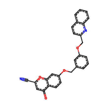 N#Cc1cc(=O)c2ccc(OCc3cccc(OCc4ccc5ccccc5n4)c3)cc2o1